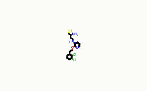 NC(CS)CCNc1cccnc1OCCc1cccc(Cl)c1Cl